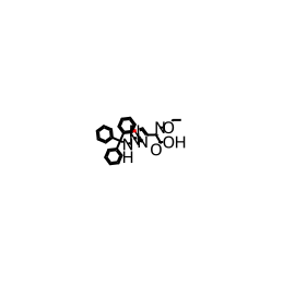 CCO/N=C(\C(=O)O)c1cnn(NC(c2ccccc2)(c2ccccc2)c2ccccc2)n1